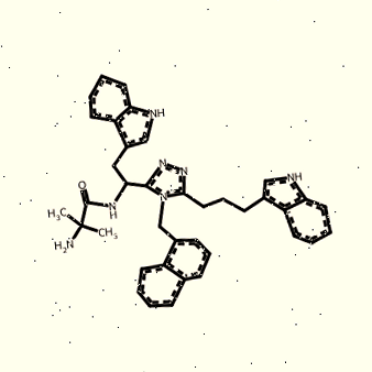 CC(C)(N)C(=O)NC(Cc1c[nH]c2ccccc12)c1nnc(CCCc2c[nH]c3ccccc23)n1Cc1cccc2ccccc12